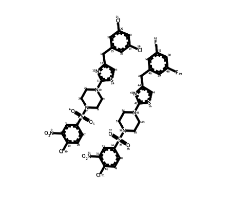 O=[N+]([O-])c1cc(S(=O)(=O)N2CCN(c3nc(Cc4cc(Cl)cc(Cl)c4)cs3)CC2)ccc1Cl.O=[N+]([O-])c1cc(S(=O)(=O)N2CCN(c3nc(Cc4cc(F)cc(F)c4)cs3)CC2)ccc1Cl